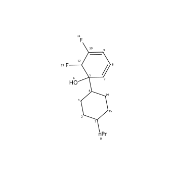 CCCC1CCC(C2(O)C=CC=C(F)C2F)CC1